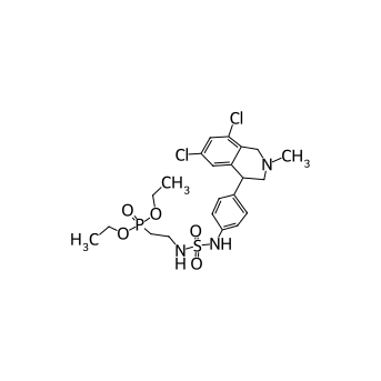 CCOP(=O)(CCNS(=O)(=O)Nc1ccc(C2CN(C)Cc3c(Cl)cc(Cl)cc32)cc1)OCC